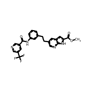 COC(=O)c1cc2cc(CCc3cccc(NC(=O)c4cncc(C(F)(F)F)c4)c3)cnc2[nH]1